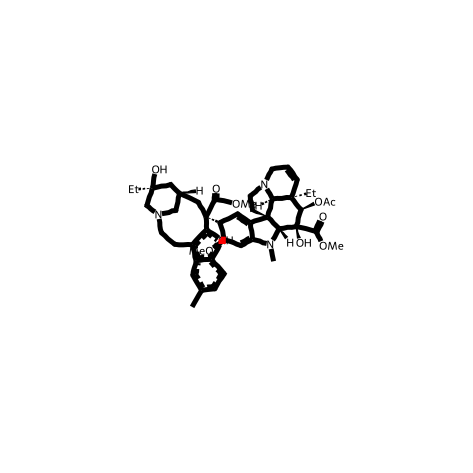 CC[C@]1(O)C[C@H]2CN(CCc3c([nH]c4ccc(C)cc34)[C@@](C(=O)OC)(C3C=C4C(=CC3OC)N(C)[C@H]3[C@@](O)(C(=O)OC)[C@H](OC(C)=O)[C@]5(CC)C=CCN6CC[C@]43[C@@H]65)C2)C1